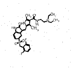 CCN(CC)CCNC(=O)c1c(C)[nH]c(/C=C2\C(=O)Nc3ccc(S(=O)(=O)Cc4c(F)cccc4F)cc32)c1C